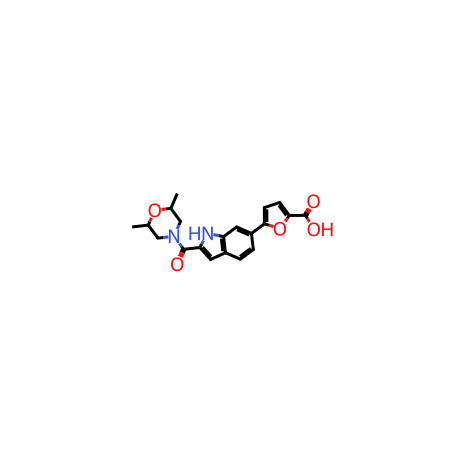 CC1CN(C(=O)c2cc3ccc(-c4ccc(C(=O)O)o4)cc3[nH]2)CC(C)O1